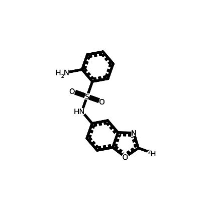 [2H]c1nc2cc(NS(=O)(=O)c3ccccc3N)ccc2o1